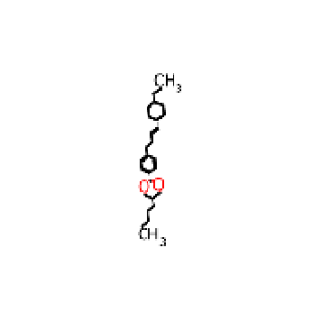 CCCCC[C@H]1CO[C@H](c2ccc(CC/C=C/[C@H]3CC[C@H](CCC)CC3)cc2)OC1